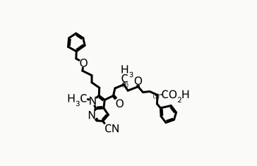 C[C@H](CC(=O)CC[C@@H](Cc1ccccc1)C(=O)O)CC(=O)c1c(CCCCOCc2ccccc2)n(C)c2ncc(C#N)cc12